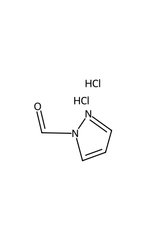 Cl.Cl.O=Cn1cccn1